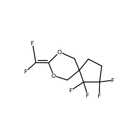 FC(F)=C1OCC2(CCC(F)(F)C2(F)F)CO1